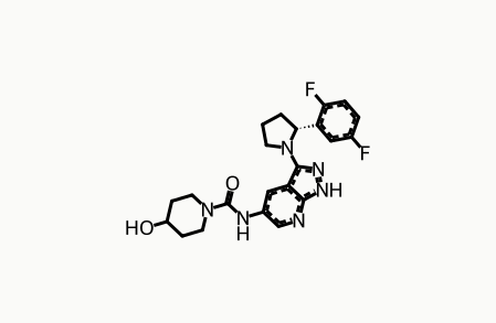 O=C(Nc1cnc2[nH]nc(N3CCC[C@@H]3c3cc(F)ccc3F)c2c1)N1CCC(O)CC1